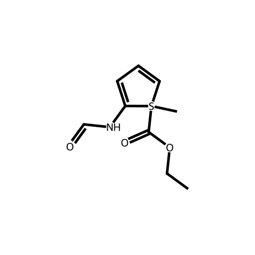 CCOC(=O)S1(C)C=CC=C1NC=O